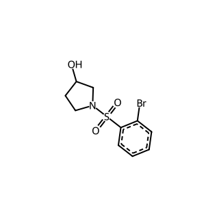 O=S(=O)(c1ccccc1Br)N1CCC(O)C1